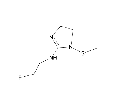 CSN1CCN=C1NCCF